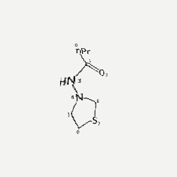 CCCC(=O)NN1CCSC1